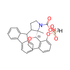 [3H]S(=O)(=O)Oc1cccc2c1[C@@H](C1(C)C(C3c4ccccc4-c4ccccc43)CCN1C(=O)O)OCC2